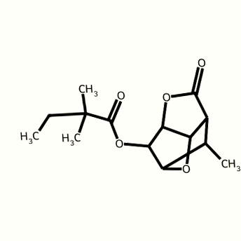 CCC(C)(C)C(=O)OC1C2OC3C1OC(=O)C3C2C